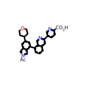 CC(=O)n1cc2cc(C3CCOCC3)cc(-c3cccc4cc(-c5ccc(C(=O)O)nc5)ncc34)c2c1